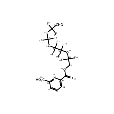 O=CC(F)(F)OC(F)(F)OC(F)(F)C(F)(F)OC(F)(F)COC(=O)c1cccc(C(=O)O)n1